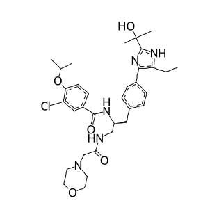 CCc1[nH]c(C(C)(C)O)nc1-c1ccc(C[C@@H](CNC(=O)CN2CCOCC2)NC(=O)c2ccc(OC(C)C)c(Cl)c2)cc1